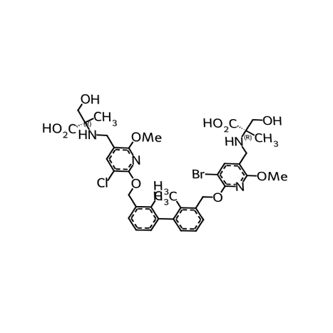 COc1nc(OCc2cccc(-c3cccc(COc4nc(OC)c(CN[C@](C)(CO)C(=O)O)cc4Br)c3C)c2C)c(Cl)cc1CN[C@](C)(CO)C(=O)O